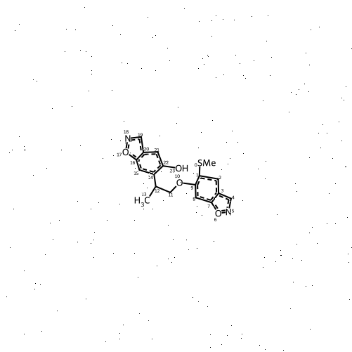 CSc1cc2cnoc2cc1OCC(C)c1cc2oncc2cc1O